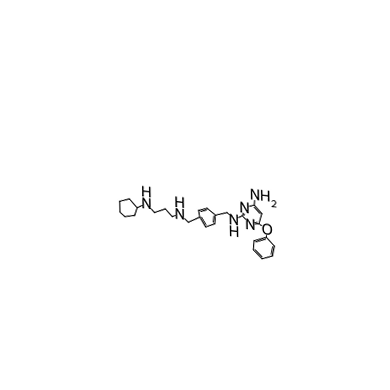 Nc1cc(Oc2ccccc2)nc(NCc2ccc(CNCCCNC3CCCCC3)cc2)n1